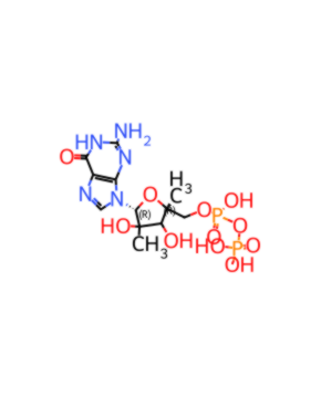 CC1(O)C(O)[C@@](C)(COP(=O)(O)OP(=O)(O)O)O[C@H]1n1cnc2c(=O)[nH]c(N)nc21